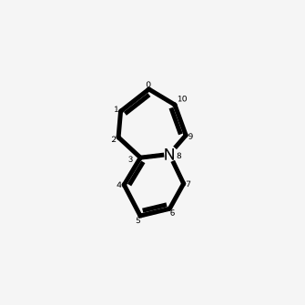 C1=CCC2=CC=CCN2C=C1